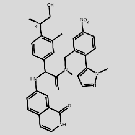 Cc1cc(C(Nc2ccc3cc[nH]c(=O)c3c2)C(=O)N(C)Cc2cc([N+](=O)[O-])ccc2-c2ccnn2C)ccc1[C@@H](C)CO